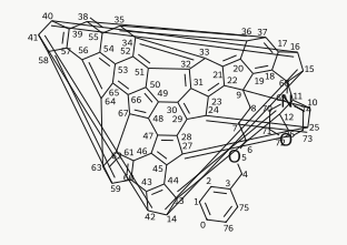 c1ccc(COCCCC23c4c5c6c7c8c9c%10c%11c(c2c2c%12c3c3c%13c4c6c4c6c%13c%13c3c3c%12c%12c%14c2c%11c2c%11c%10c%10c8c8c7c4c4c6c6c%13c7c3c%12c3c(c%142)c2c%11c%10c%10c8c4c4c%10c2c3c7c64)C59N2CCOCC2)cc1